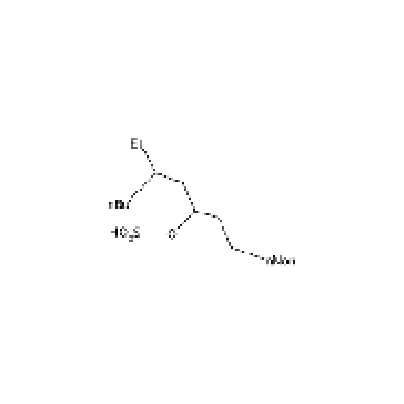 CCCCCCCCCCCC(CC(CC)CCCC)OS(=O)(=O)O